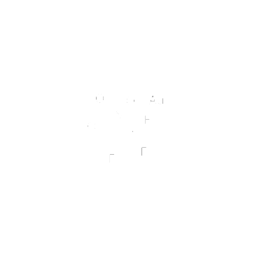 O=S(=O)([O-])C(F)(F)F.[Au+]